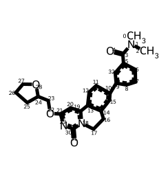 CN(C)C(=O)c1cccc(-c2ccc3c(c2)CCn2c-3cc(OCC3CCCO3)nc2=O)c1